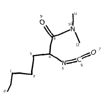 CCCCC(N=C=O)C(=O)N(C)C